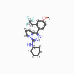 COc1ccc(-c2nnc(NC3CCCCC3)n3cccc23)c(CC(F)(F)F)c1